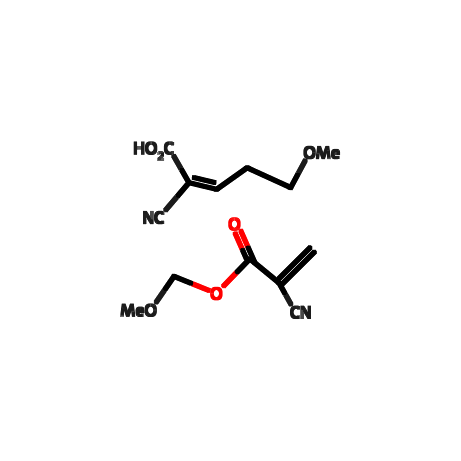 C=C(C#N)C(=O)OCOC.COCCC=C(C#N)C(=O)O